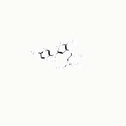 C[C@H](CN(C)C)Oc1cc(Nc2cnc(C#N)cn2)nnc1C(F)(F)F